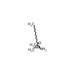 CCCCCCCCCCCC(=O)C(C)(CCN)NCC